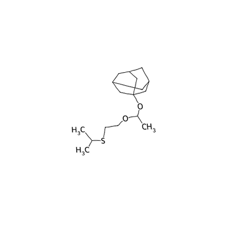 CC(OCCSC(C)C)OC12CC3CC(CC(C3)C1)C2